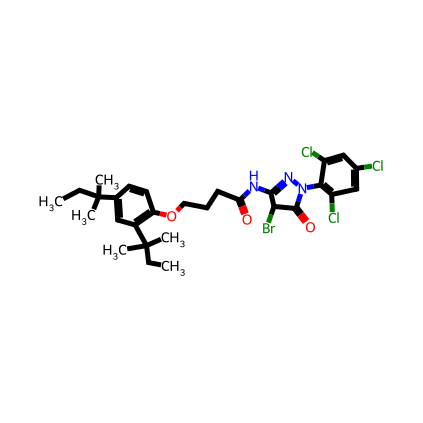 CCC(C)(C)c1ccc(OCCCC(=O)NC2=NN(c3c(Cl)cc(Cl)cc3Cl)C(=O)C2Br)c(C(C)(C)CC)c1